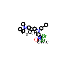 COC(=O)n1c(Br)c(Br)c2cc(N(c3ccc(-c4ccccc4)cc3)c3ccc4c(c3)C(C)(C)c3cc(N(c5ccccc5)c5cccc6ccccc56)ccc3-4)ccc21